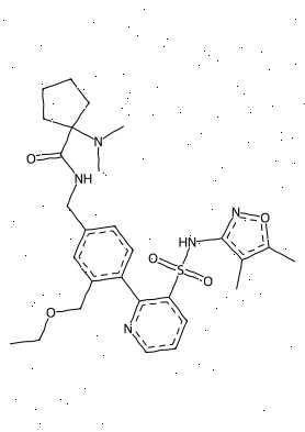 CCOCc1cc(CNC(=O)C2(N(C)C)CCCC2)ccc1-c1ncccc1S(=O)(=O)Nc1noc(C)c1C